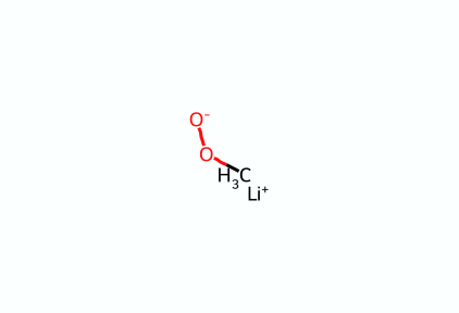 CO[O-].[Li+]